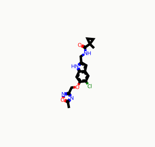 Cc1nc(COc2cc3[nH]c(CNC(=O)C4(C)CC4)cc3cc2Cl)no1